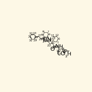 C1CCC(NC2CCCCC2)CC1.CC(C)C[C@H](CC(=O)O)NC(=O)CCCCCCCc1ccccc1